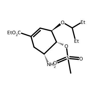 CCOC(=O)C1=C[C@@H](OC(CC)CC)[C@H](OS(C)(=O)=O)[C@H](N)C1